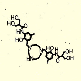 Cc1cc(CN2CCCNCCN(Cc3cc(C)cc(NC(=O)C(CO)CO)c3O)CCC2)c(O)c(NC(=O)C(CO)CO)c1